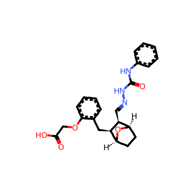 O=C(O)COc1ccccc1C[C@H]1[C@@H](C=NNC(=O)Nc2ccccc2)[C@H]2CC[C@@H]1O2